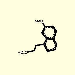 COc1ccc2cccc(CCC(=O)O)c2c1